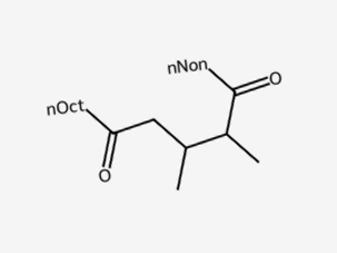 CCCCCCCCCC(=O)C(C)C(C)CC(=O)CCCCCCCC